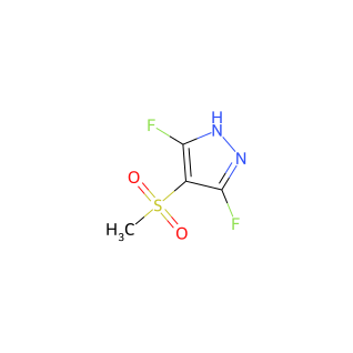 CS(=O)(=O)c1c(F)n[nH]c1F